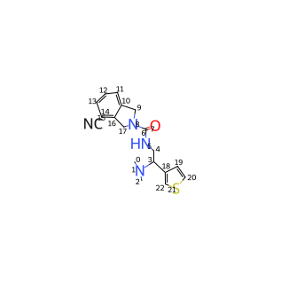 CN(C)C(CNC(=O)N1Cc2cccc(C#N)c2C1)c1ccsc1